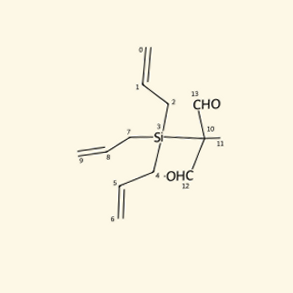 C=CC[Si](CC=C)(CC=C)C(C)([C]=O)C=O